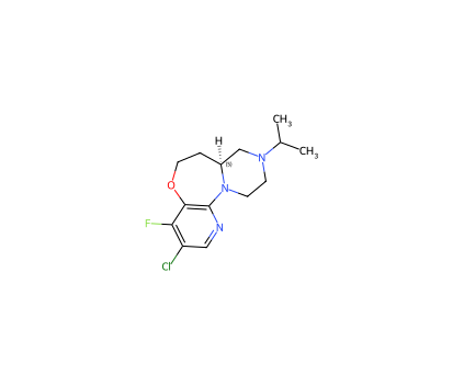 CC(C)N1CCN2c3ncc(Cl)c(F)c3OCC[C@H]2C1